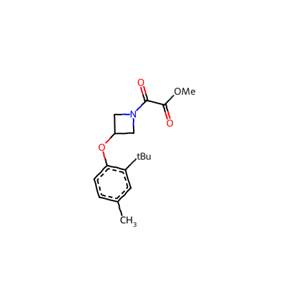 COC(=O)C(=O)N1CC(Oc2ccc(C)cc2C(C)(C)C)C1